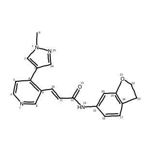 Cn1cc(-c2ccncc2C=CC(=O)Nc2ccc3c(c2)OCC3)cn1